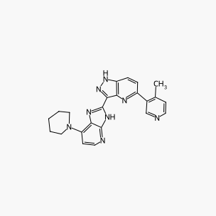 Cc1ccncc1-c1ccc2[nH]nc(-c3nc4c(N5CCCCC5)ccnc4[nH]3)c2n1